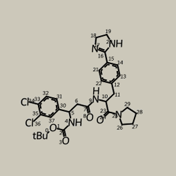 CC(C)(C)OC(=O)NC(CC(=O)NC(Cc1ccc(C2=NCCN2)cc1)C(=O)N1CCCC1)c1ccc(Cl)c(Cl)c1